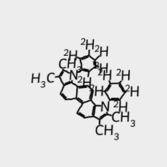 [2H]c1c([2H])c([2H])c(-n2c(C)c(C)c3ccc4c5ccc6c(C)c(C)n(-c7c([2H])c([2H])c([2H])c([2H])c7[2H])c6c5ccc4c32)c([2H])c1[2H]